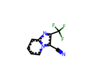 N#Cc1c(C(F)(F)F)nc2ccccn12